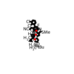 CSc1nc2c(F)c(-c3cccc(Cl)c3Cl)c(CCC#N)cc2c2c1cc([C@H]1C[C@H](O[Si](C)(C)C(C)(C)C)CN1C(=O)C1(C)CC1)n2[C@H]1[C@@H]2C[C@H]1N(C(=O)OC(C)(C)C)C2